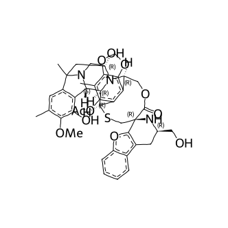 COc1c(C)cc2c(c1O)[C@H]1[C@@H]3[C@@H]4SC[C@]5(N[C@@H](CO)Cc6c5oc5ccccc65)C(=O)OC[C@@H](c5c6c(c(C)c(OC(C)=O)c54)OCO6)N3[C@]3(O)CN1C2(C)C3